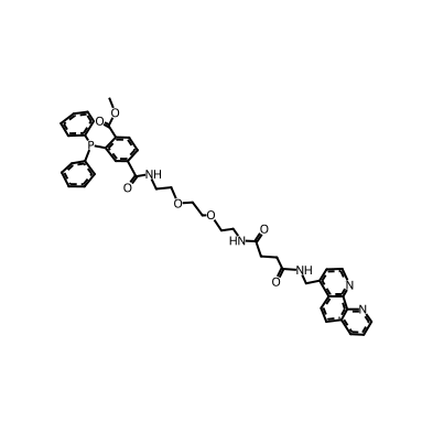 COC(=O)c1ccc(C(=O)NCCOCCOCCNC(=O)CCC(=O)NCc2ccnc3c2ccc2cccnc23)cc1P(c1ccccc1)c1ccccc1